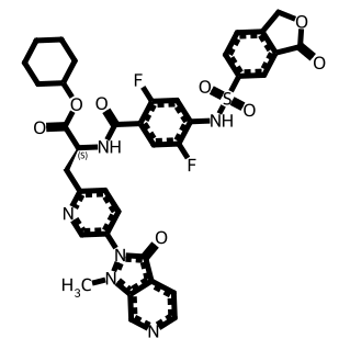 Cn1c2cnccc2c(=O)n1-c1ccc(C[C@H](NC(=O)c2cc(F)c(NS(=O)(=O)c3ccc4c(c3)C(=O)OC4)cc2F)C(=O)OC2CCCCC2)nc1